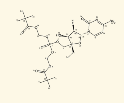 CC[C@]1(COP(=O)(OCOC(=O)C(C)(C)C)OCOC(=O)C(C)(C)C)O[C@@H](n2ccc(N)nc2=O)[C@H](F)[C@@H]1O